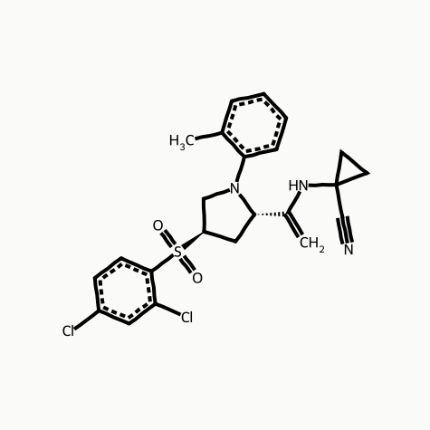 C=C(NC1(C#N)CC1)[C@@H]1C[C@@H](S(=O)(=O)c2ccc(Cl)cc2Cl)CN1c1ccccc1C